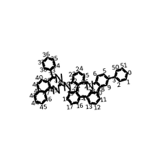 c1ccc(-c2ccc3c(c2)c2cccc4c5cccc6c5c5c(cccc5n3c42)n6-c2nc(-c3ccccc3)c3ccc4ccccc4c3n2)cc1